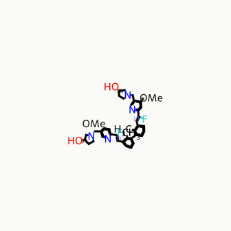 COc1cc(/C(F)=C/c2cccc(-c3cccc(/C=C(\F)c4cc(OC)c(CN5CC[C@@H](O)C5)cn4)c3C)c2C)ncc1CN1CC[C@@H](O)C1